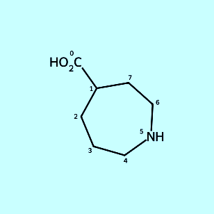 O=C(O)C1CCCNCC1